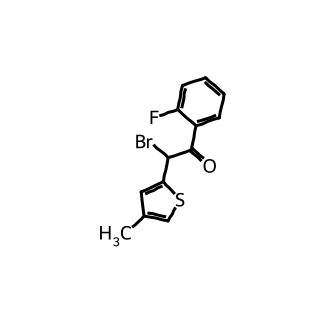 Cc1csc(C(Br)C(=O)c2ccccc2F)c1